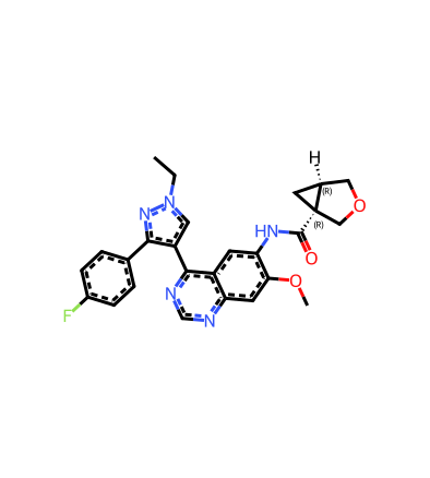 CCn1cc(-c2ncnc3cc(OC)c(NC(=O)[C@@]45COC[C@@H]4C5)cc23)c(-c2ccc(F)cc2)n1